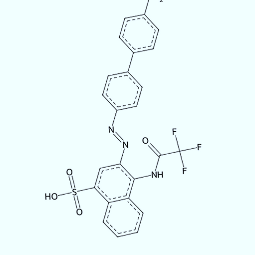 Nc1ccc(-c2ccc(/N=N/c3cc(S(=O)(=O)O)c4ccccc4c3NC(=O)C(F)(F)F)cc2)cc1